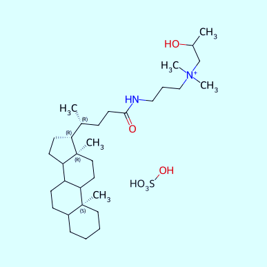 CC(O)C[N+](C)(C)CCCNC(=O)CC[C@@H](C)[C@H]1CCC2C3CCC4CCCC[C@]4(C)C3CC[C@@]21C.O=S(=O)(O)O